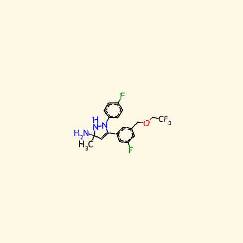 CC1(N)C=C(c2cc(F)cc(COCC(F)(F)F)c2)N(c2ccc(F)cc2)N1